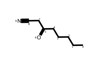 CCCCCC(=O)CC#N